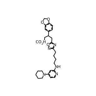 O=C(O)CC(Cc1nc(CCCCNc2cc(N3CCCCC3)ccn2)no1)c1ccc2c(c1)OCO2